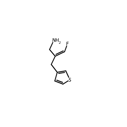 NCC(=CF)Cc1ccsc1